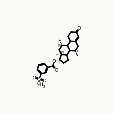 C[C@@H]1CC2=CC(=O)CCC2C2C1C1CC[C@H](OC(=O)c3cccc(S(N)(=O)=O)c3)[C@@]1(C)C[C@@H]2F